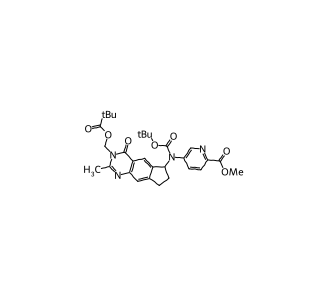 COC(=O)c1ccc(N(C(=O)OC(C)(C)C)C2CCc3cc4nc(C)n(COC(=O)C(C)(C)C)c(=O)c4cc32)cn1